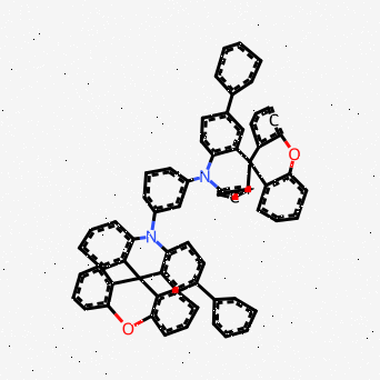 c1ccc(-c2ccc3c(c2)C2(c4ccccc4Oc4ccccc42)c2ccccc2N3c2cccc(N3c4ccccc4C4(c5ccccc5Oc5ccccc54)c4cc(-c5ccccc5)ccc43)c2)cc1